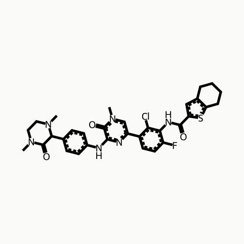 CN1CCN(C)C(c2ccc(Nc3nc(-c4ccc(F)c(NC(=O)c5cc6c(s5)CCCC6)c4Cl)cn(C)c3=O)cc2)C1=O